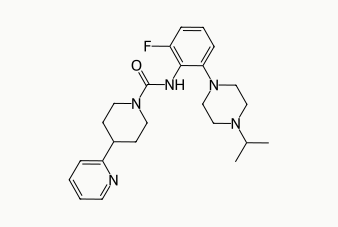 CC(C)N1CCN(c2cccc(F)c2NC(=O)N2CCC(c3ccccn3)CC2)CC1